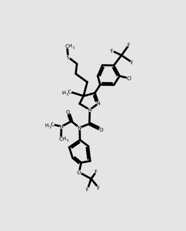 CSCCCC1(C)CN(C(=O)N(C(=O)N(C)C)c2ccc(OC(F)(F)F)cc2)N=C1c1ccc(C(F)(F)F)c(Cl)c1